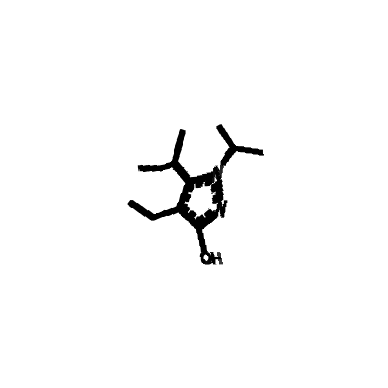 CCc1c(O)nn(C(C)C)c1C(C)C